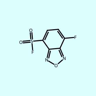 O=S(=O)(F)c1ccc(F)c2nonc12